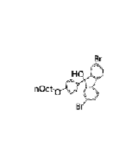 CCCCCCCCOc1ccc(C2(O)c3cc(Br)ccc3-c3ccc(Br)cc32)cc1